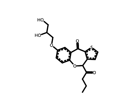 CCCC(=O)C1Oc2ccc(OCC(O)CO)cc2C(=O)c2sccc21